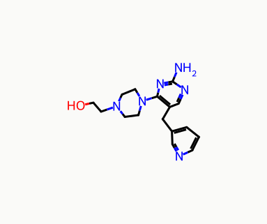 Nc1ncc(Cc2cccnc2)c(N2CCN(CCO)CC2)n1